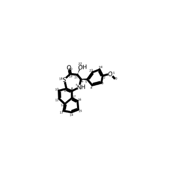 COc1ccc([C@H]2Nc3c(ccc4ccccc34)SC(=O)[C@@H]2O)cc1